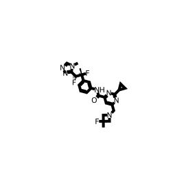 Cn1cnnc1[C@@H](F)[C@](C)(F)c1cccc(NC(=O)c2cc(CN3CC(C)(F)C3)nc(C3CC3)n2)c1